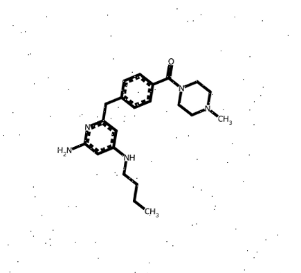 CCCCNc1cc(N)nc(Cc2ccc(C(=O)N3CCN(C)CC3)cc2)c1